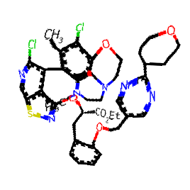 CCOC(=O)[C@@H](Cc1ccccc1OCc1cnc(C2CCOCC2)nc1)Oc1nsc2cnc(Cl)c(-c3ccc(OCCN4CCN(C)CC4)c(Cl)c3C)c12